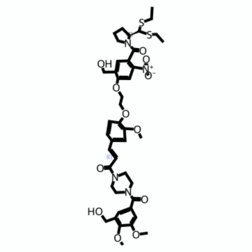 CCSC(SCC)[C@@H]1CCCN1C(=O)c1cc(CO)c(OCCOc2ccc(/C=C/C(=O)N3CCN(C(=O)c4cc(CO)c(OC)c(OC)c4)CC3)cc2OC)cc1[N+](=O)[O-]